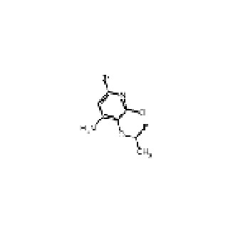 CC(F)Oc1c(N)cc(Br)nc1Cl